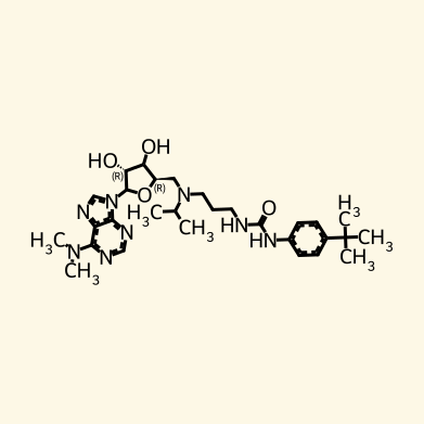 CC(C)N(CCCNC(=O)Nc1ccc(C(C)(C)C)cc1)C[C@H]1OC(n2cnc3c(N(C)C)ncnc32)[C@H](O)C1O